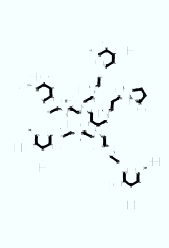 O=C(CN(CCC(C(=O)NCCC(=O)ON1C(=O)CCC1=O)N(CC(=O)NCCO[C@H]1O[C@H](CO)[C@@H](O)[C@H](O)[C@@H]1O)CC(=O)NCCO[C@@H]1O[C@@H](CO)[C@H](O)[C@@H](O)[C@H]1O)CC(=O)NCCO[C@H]1O[C@H](CO)[C@@H](O)[C@H](O)[C@@H]1O)NCCO[C@H]1O[C@H](CO)[C@@H](O)[C@H](O)[C@@H]1O